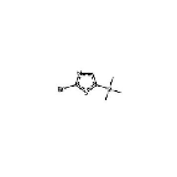 C[Si](C)(C)c1cnc(Br)s1